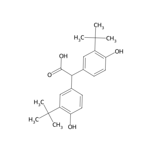 CC(C)(C)c1cc(C(C(=O)O)c2ccc(O)c(C(C)(C)C)c2)ccc1O